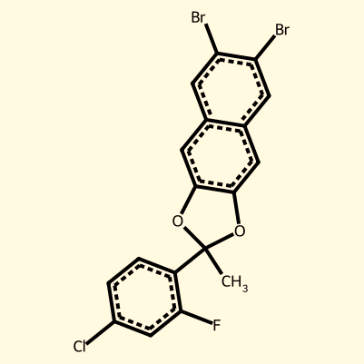 CC1(c2ccc(Cl)cc2F)Oc2cc3cc(Br)c(Br)cc3cc2O1